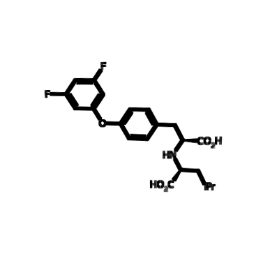 CC(C)C[C@H](N[C@@H](Cc1ccc(Oc2cc(F)cc(F)c2)cc1)C(=O)O)C(=O)O